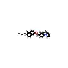 CC1=C(C=O)CCc2cc(OCc3ccc(-n4cccc4)c(C(F)(F)F)c3)ccc21